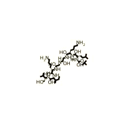 CCC(C)[C@@H](NC(O)[C@H](CCCCN)NC(O)CNC(O)CNC(O)[C@@H](CCCCN)NC(O)[C@H](CCC(C)C)NC(O)OC(C)(C)C)C(O)N[C@H](CO)C(C)C